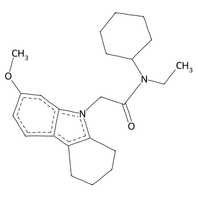 CCN(C(=O)Cn1c2c(c3ccc(OC)cc31)CCCC2)C1CCCCC1